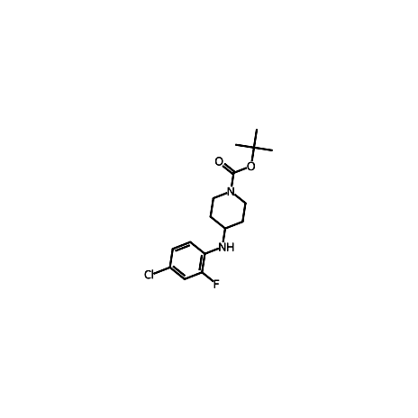 CC(C)(C)OC(=O)N1CCC(Nc2ccc(Cl)cc2F)CC1